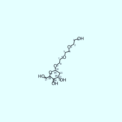 OCCOCCOCCO[C@H]1C[C@@H](O)[C@@H](O)[C@@H](CO)O1